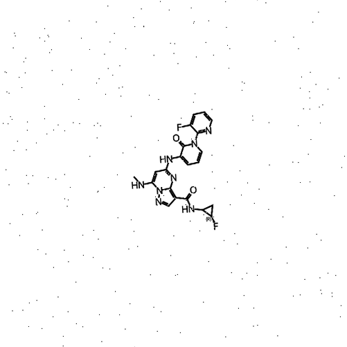 CNc1cc(Nc2cccn(-c3ncccc3F)c2=O)nc2c(C(=O)NC3C[C@H]3F)cnn12